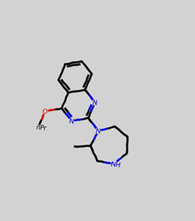 CCCOc1nc(N2CCCNCC2C)nc2ccccc12